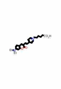 CCN(CC)c1ccc2cc(/C=C/c3cc[n+](CCCCCC(=O)O)cc3)c(=O)oc2c1